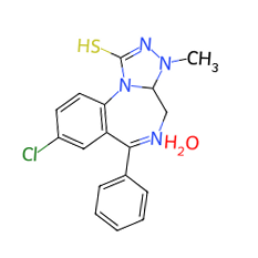 CN1N=C(S)N2c3ccc(Cl)cc3C(c3ccccc3)=NCC12.O